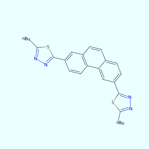 CCCCc1nnc(-c2ccc3c(ccc4ccc(-c5nnc(CCCC)s5)cc43)c2)s1